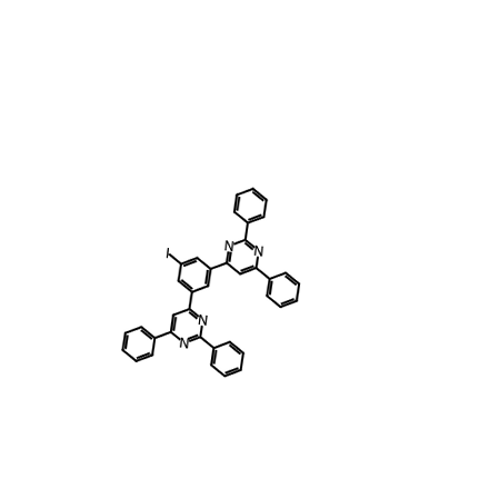 Ic1cc(-c2cc(-c3ccccc3)nc(-c3ccccc3)n2)cc(-c2cc(-c3ccccc3)nc(-c3ccccc3)n2)c1